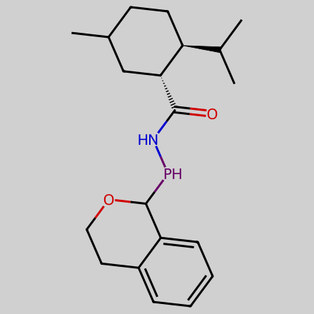 CC1CC[C@@H](C(C)C)[C@H](C(=O)NPC2OCCc3ccccc32)C1